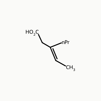 C/C=C(\CCC)CC(=O)O